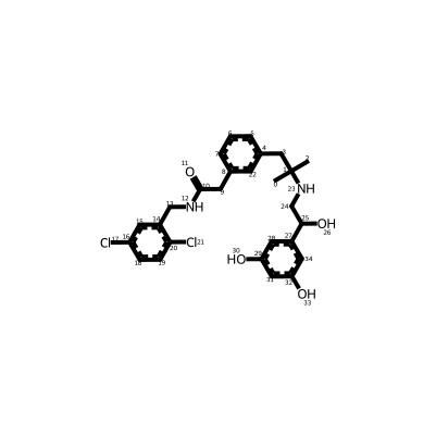 CC(C)(Cc1cccc(CC(=O)NCc2cc(Cl)ccc2Cl)c1)NCC(O)c1cc(O)cc(O)c1